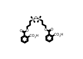 C[Si](C)(CCCOC(=O)c1ccccc1C(=O)O)O[Si](C)(C)CCCOC(=O)c1ccccc1C(=O)O